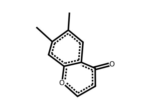 Cc1cc2occc(=O)c2cc1C